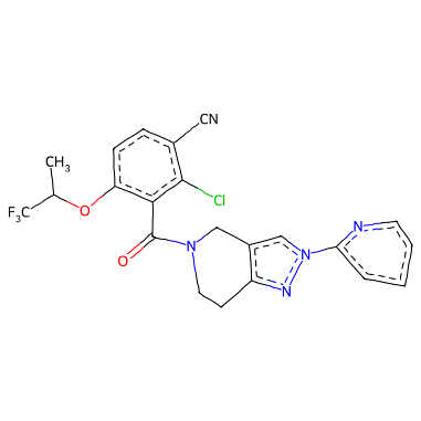 CC(Oc1ccc(C#N)c(Cl)c1C(=O)N1CCc2nn(-c3ccccn3)cc2C1)C(F)(F)F